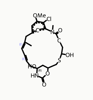 COc1cc2cc(c1Cl)N(C)C(=O)CCC(O)SCC1C[C@](O)(C/C=C/C=C(\C)C2)NC(=O)O1